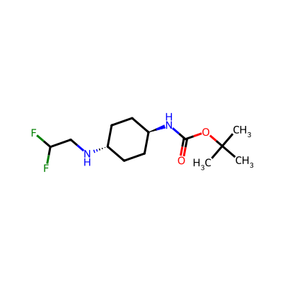 CC(C)(C)OC(=O)N[C@H]1CC[C@H](NCC(F)F)CC1